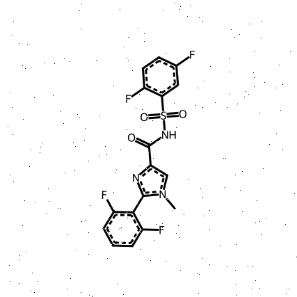 Cn1cc(C(=O)NS(=O)(=O)c2cc(F)ccc2F)nc1-c1c(F)cccc1F